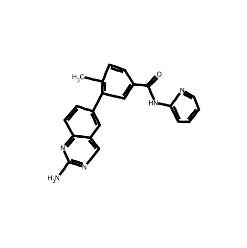 Cc1ccc(C(=O)Nc2ccccn2)cc1-c1ccc2nc(N)ncc2c1